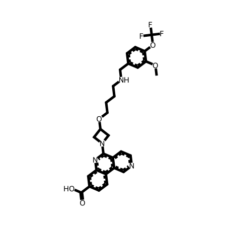 COc1cc(CNCCCCOC2CN(c3nc4cc(C(=O)O)ccc4c4cnccc34)C2)ccc1OC(F)(F)F